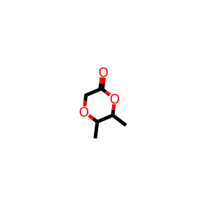 CC1OCC(=O)OC1C